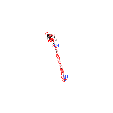 C[C@]12C=CC(=O)C=C1CC[C@@H]1C2[C@@H](O)C[C@@]2(C)C1CC1OC(c3ccc(Cc4cccc(NC(=O)CCOCCOCCOCCOCCOCCOCCOCCOCCOCCOCCOCCOCCNC(=O)CCN5C(=O)C=CC5=O)c4)cc3)O[C@]12C(=O)CO